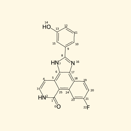 O=c1[nH]ccc2c3[nH]c(-c4cccc(O)c4)nc3c3ccc(F)cc3c12